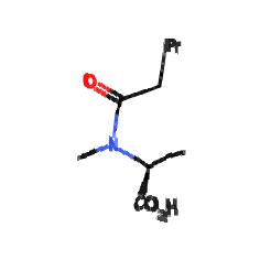 CC(C)CC(=O)N(C)[C@@H](C)C(=O)O